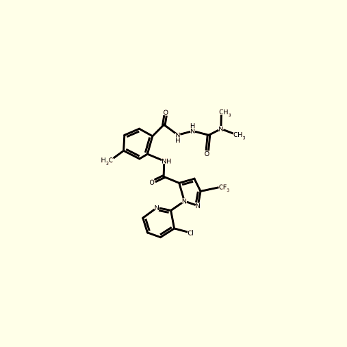 Cc1ccc(C(=O)NNC(=O)N(C)C)c(NC(=O)c2cc(C(F)(F)F)nn2-c2ncccc2Cl)c1